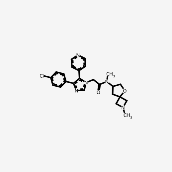 CN1CC2(CC(N(C)C(=O)Cn3cnc(-c4ccc(Cl)cc4)c3-c3ccncc3)CO2)C1